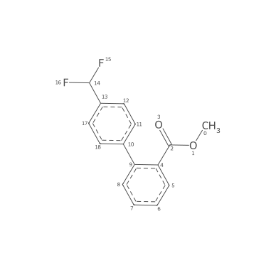 COC(=O)c1ccccc1-c1ccc(C(F)F)cc1